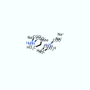 CC(=O)O.CC(=O)O.CNCC(=O)O.NC(=O)[O-].NC(=O)[O-].NC(=O)[O-].[Na+].[Na+].[Na+]